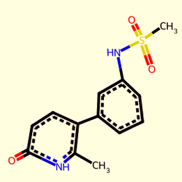 Cc1[nH]c(=O)ccc1-c1cccc(NS(C)(=O)=O)c1